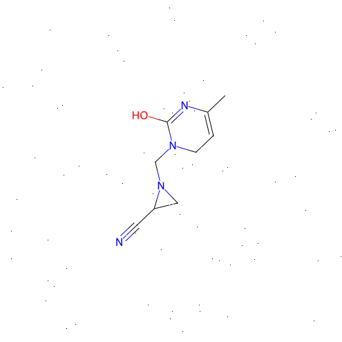 CC1=CCN(CN2CC2C#N)C(O)=N1